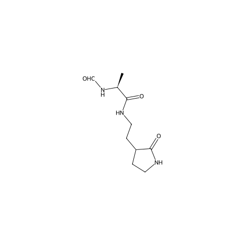 C[C@H](NC=O)C(=O)NCCC1CCNC1=O